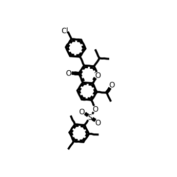 CC(=O)c1c(OS(=O)(=O)c2c(C)cc(C)cc2C)ccc2c(=O)c(-c3ccc(Cl)cc3)c(C(C)C)oc12